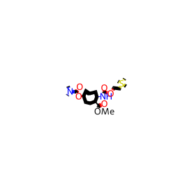 COC(=O)[C@H]1CC[C@@H](OC(=O)N(C)C)/C=C/C[C@@H]1NC(=O)OCCS(C)(C)C